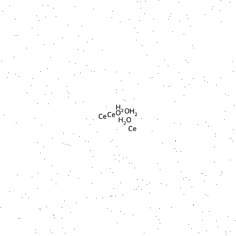 O.O.O.[Ce].[Ce].[Ce]